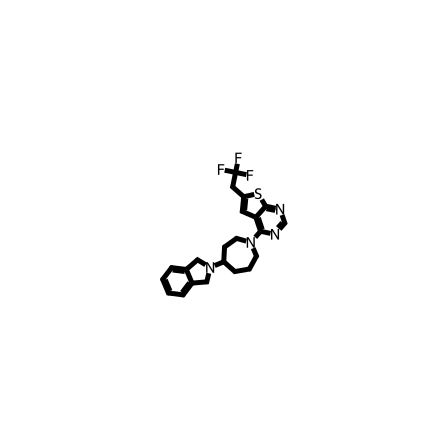 FC(F)(F)Cc1cc2c(N3CCCC(N4Cc5ccccc5C4)CC3)ncnc2s1